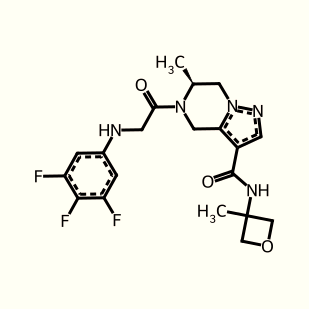 C[C@H]1Cn2ncc(C(=O)NC3(C)COC3)c2CN1C(=O)CNc1cc(F)c(F)c(F)c1